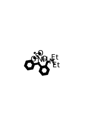 CCN(CC)C(=O)c1ccccc1C(NS(C)(=O)=O)c1ccccc1